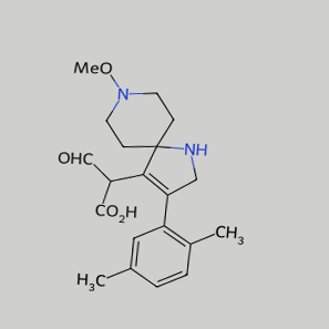 CON1CCC2(CC1)NCC(c1cc(C)ccc1C)=C2C(C=O)C(=O)O